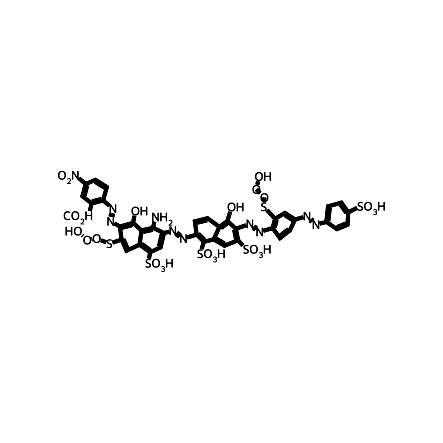 Nc1c(N=Nc2ccc3c(O)c(N=Nc4ccc(N=Nc5ccc(S(=O)(=O)O)cc5)cc4SOOO)c(S(=O)(=O)O)cc3c2S(=O)(=O)O)cc(S(=O)(=O)O)c2cc(SOOO)c(N=Nc3ccc([N+](=O)[O-])cc3C(=O)O)c(O)c12